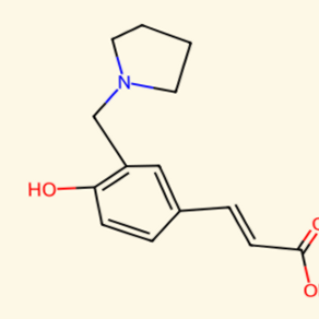 O=C(O)C=Cc1ccc(O)c(CN2CCCC2)c1